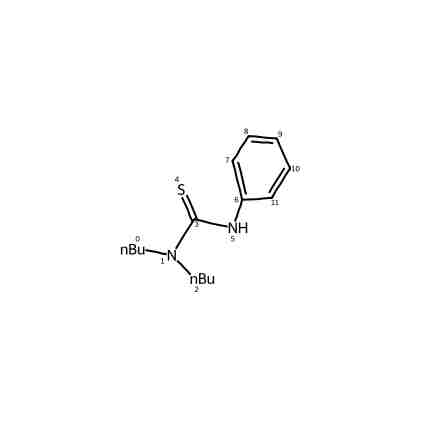 CCCCN(CCCC)C(=S)Nc1ccccc1